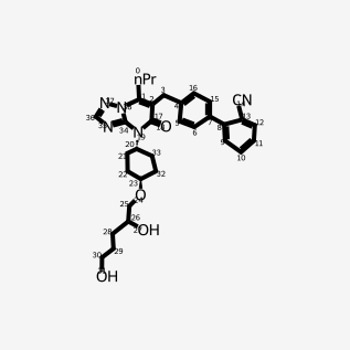 CCCc1c(Cc2ccc(-c3ccccc3C#N)cc2)c(=O)n([C@H]2CC[C@H](OCC(O)CCCO)CC2)c2ncnn12